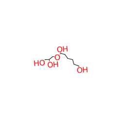 OCCCCCC(O)OCC(O)CO